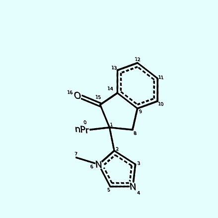 CCCC1(c2cncn2C)Cc2ccccc2C1=O